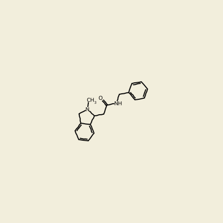 CN1Cc2ccccc2C1CC(=O)NCc1ccccc1